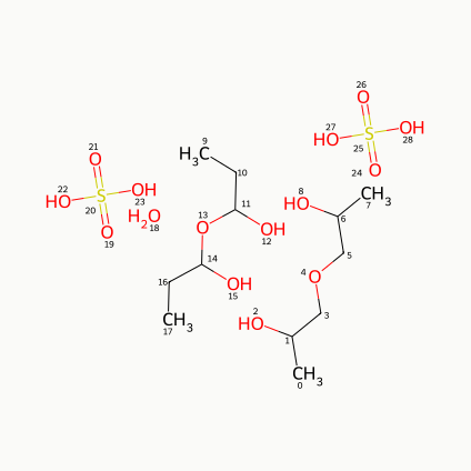 CC(O)COCC(C)O.CCC(O)OC(O)CC.O.O=S(=O)(O)O.O=S(=O)(O)O